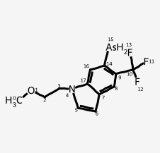 COCCn1ccc2cc(C(F)(F)F)c([AsH2])cc21